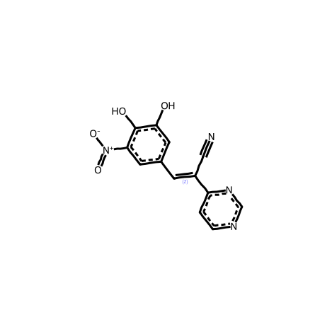 N#C/C(=C\c1cc(O)c(O)c([N+](=O)[O-])c1)c1ccncn1